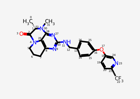 C[C@H]1C(=O)N2CCCc3nc(NCc4ccc(Oc5ccc(C(F)(F)F)nc5)cc4)nc(c32)N1C